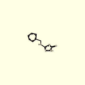 O=c1nc(NCc2ccccc2)s[nH]1